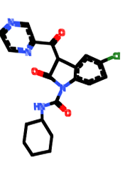 O=C(c1cnccn1)C1C(=O)N(C(=O)NC2CCCCC2)c2ccc(Cl)cc21